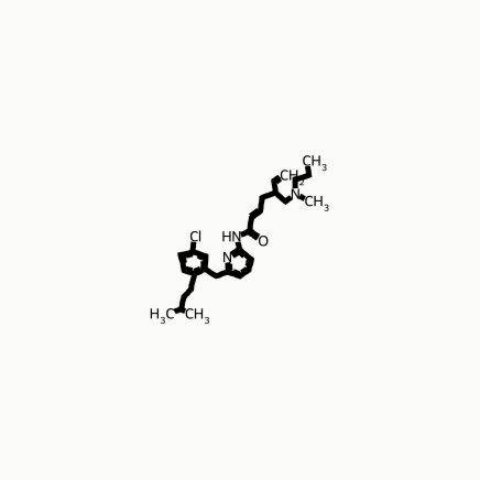 C=CC(C/C=C/C(=O)Nc1cccc(Cc2cc(Cl)ccc2CCC(C)C)n1)CN(C)CCC